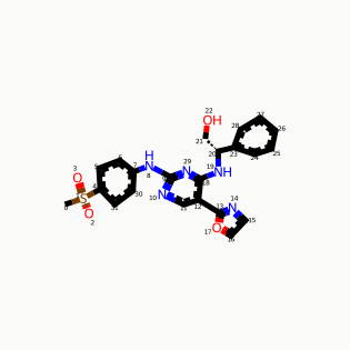 CS(=O)(=O)c1ccc(Nc2ncc(-c3ncco3)c(N[C@H](CO)c3ccccc3)n2)cc1